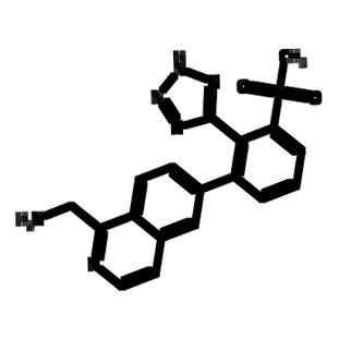 CS(=O)(=O)c1cccc(-c2ccc3c(CN)nccc3c2)c1-c1nn[nH]n1